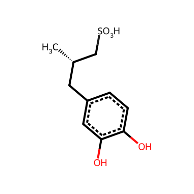 C[C@@H](Cc1ccc(O)c(O)c1)CS(=O)(=O)O